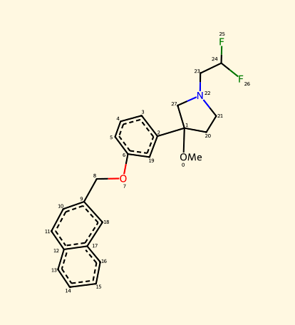 COC1(c2cccc(OCc3ccc4ccccc4c3)c2)CCN(CC(F)F)C1